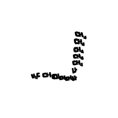 C.C.C.C.C.C.C.C.C.C.[Li].[Li]